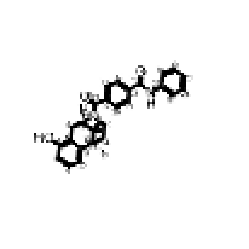 CC1(C)[C@H]2Cc3c(O)cccc3[C@]1(C)CCN2C(=O)c1ccc(C(=O)Nc2ccccc2)cc1